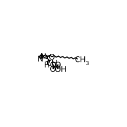 CCCCCCCCCCCCOCC(Cn1ccnc1)SCC.O=C(O)C(=O)O